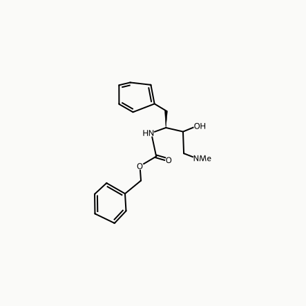 CNCC(O)[C@H](Cc1ccccc1)NC(=O)OCc1ccccc1